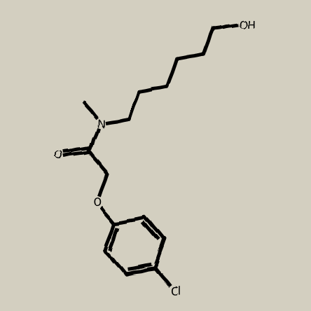 CN(CCCCCCO)C(=O)COc1ccc(Cl)cc1